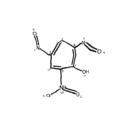 O=Nc1cc(N=O)c(O)c([N+](=O)[O-])c1